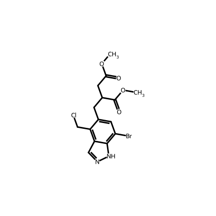 COC(=O)CC(Cc1cc(Br)c2[nH]ncc2c1CCl)C(=O)OC